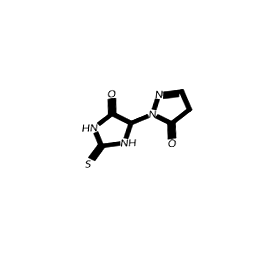 O=C1NC(=S)NC1N1N=CCC1=O